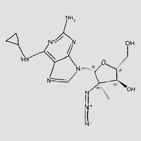 C[C@@]1(N=[N+]=[N-])[C@H](O)[C@@H](CO)O[C@H]1n1cnc2c(NC3CC3)nc(N)nc21